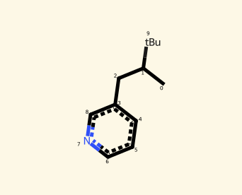 CC(Cc1cccnc1)C(C)(C)C